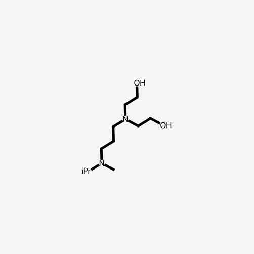 CC(C)N(C)CCCN(CCO)CCO